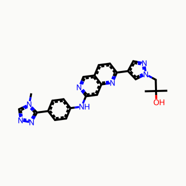 Cn1cnnc1-c1ccc(Nc2cc3nc(-c4cnn(CC(C)(C)O)c4)ccc3cn2)cc1